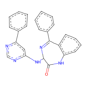 O=C1Nc2ccccc2C(c2ccccc2)=NC1Nc1cc(-c2ccccc2)ncn1